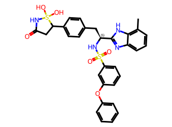 Cc1cccc2nc([C@H](Cc3ccc(C4CC(=O)NS4(O)O)cc3)NS(=O)(=O)c3cccc(Oc4ccccc4)c3)[nH]c12